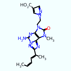 C/C=C\C=C(/C)c1nc2c3c(nc(N)n2n1)n(CCn1cc(C(=O)O)cn1)c(=O)n3C